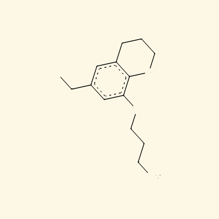 COCCCOc1cc(CBr)cc2c1OCCC2